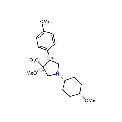 COc1ccc([C@@H]2CN([C@H]3CC[C@@H](OC)CC3)C[C@@]2(OC)C(=O)O)cc1